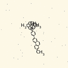 Cc1ccc2c(ccc3cc(-c4ccc(B5OC(C)(C)C(C)(C)O5)cc4)ccc32)c1